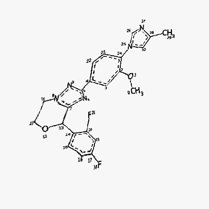 COc1cc(-c2nc3n(n2)CCOC3c2ccc(F)cc2F)ccc1-n1cnc(C)c1